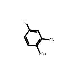 CCCCc1ccc(O)cc1C#N